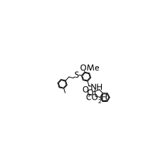 COc1ccc(C(=O)NC2(OC(=O)O)Cc3ccccc3C2)cc1SCCc1cccc(C)c1